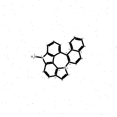 Nn1c2cccc3c2c2c1ccc1ccn(c4ccc5ccccc5c34)c12